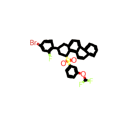 O=S(=O)(c1cccc(OC(F)F)c1)C1CC(c2ccc(Br)cc2F)Cc2ccc3c(ccc4ccccc43)c21